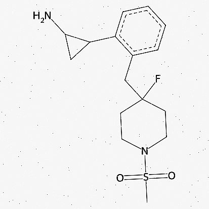 CS(=O)(=O)N1CCC(F)(Cc2ccccc2C2CC2N)CC1